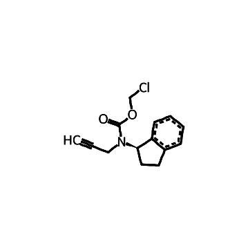 C#CCN(C(=O)OCCl)[C@@H]1CCc2ccccc21